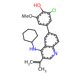 C=C(C)c1cnc2ccc(-c3cc(Cl)c(O)c(OC)c3)cc2c1NC1CCCCC1